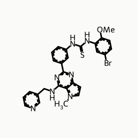 COc1ccc(Br)cc1NC(=S)Nc1cccc(-c2nc(NCc3cccnc3)c3c(ccn3C)n2)c1